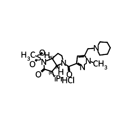 CC(C)[C@H]1C(=O)N(S(C)(=O)=O)[C@H]2CCN(C(=O)c3cc(CN4CCCCC4)n(C)n3)[C@H]12.Cl